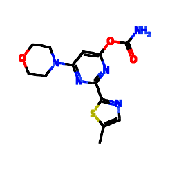 Cc1cnc(-c2nc(OC(N)=O)cc(N3CCOCC3)n2)s1